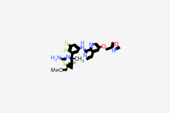 COC[C@]12C[C@H]1[C@@](C)(c1cc(Nc3nccc4cc(OCc5cocn5)cnc34)cc(F)c1F)N=C(N)S2